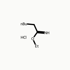 CCCCCC(=N)OCC.Cl